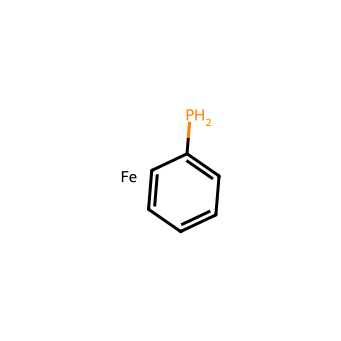 Pc1ccccc1.[Fe]